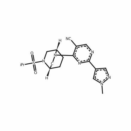 CC(C)S(=O)(=O)N1C[C@@H]2CC[C@H]1CN2c1nc(-c2cnn(C)c2)ncc1C#N